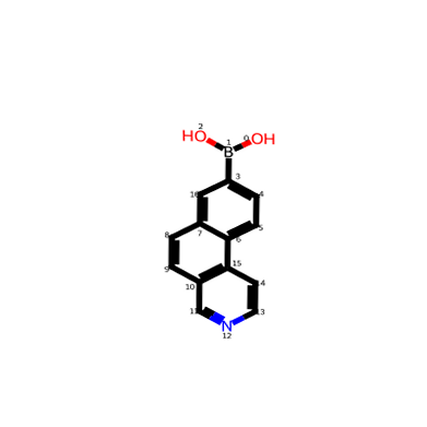 OB(O)c1ccc2c(ccc3cnccc32)c1